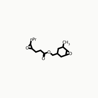 CCCC1OC1CCC(=O)OCC1CC(C)C2OC2C1